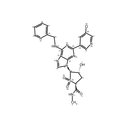 CNC(=O)[C@@H]1C[C@@H](O)[C@H](n2cnc3c(NCc4ccccn4)nc(-c4cncc(Cl)c4)nc32)S1(=O)=O